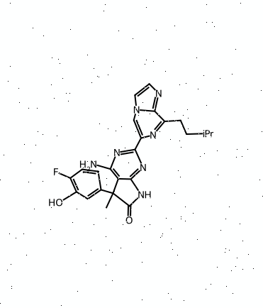 CC(C)CCc1nc(-c2nc(N)c3c(n2)NC(=O)C3(C)c2ccc(F)c(O)c2)cn2ccnc12